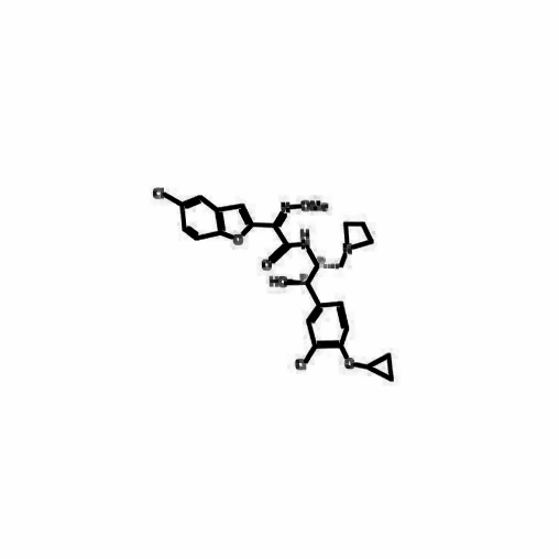 CON=C(C(=O)N[C@H](CN1CCC1)[C@H](O)c1ccc(OC2CC2)c(Cl)c1)c1cc2cc(Cl)ccc2o1